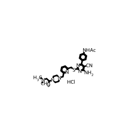 CC(=O)Nc1ccc(-c2nc(SCc3cccc(CN4CCN(C(=O)CN(C)C)CC4)n3)nc(N)c2C#N)cc1.Cl